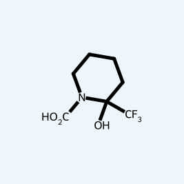 O=C(O)N1CCCCC1(O)C(F)(F)F